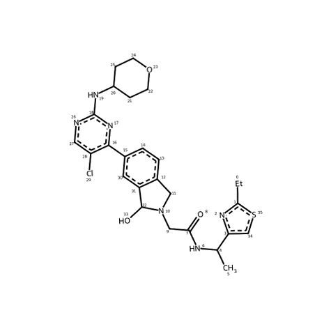 CCc1nc(C(C)NC(=O)CN2Cc3ccc(-c4nc(NC5CCOCC5)ncc4Cl)cc3C2O)cs1